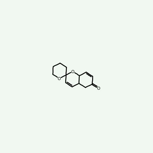 O=C1C=CC2OC3(C=CC2C1)CCCCO3